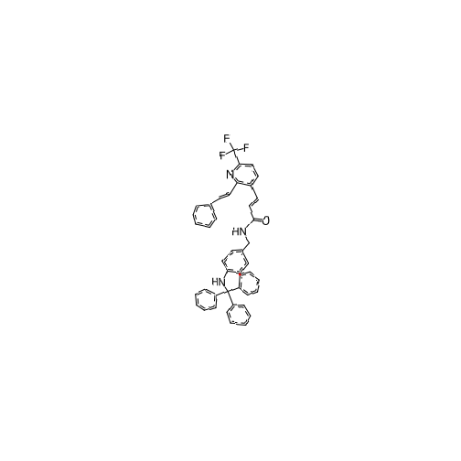 O=C(C=Cc1ccc(C(F)(F)F)nc1C=Cc1ccccc1)NCc1ccc(NC(c2ccccc2)(c2ccccc2)c2ccccc2)cc1